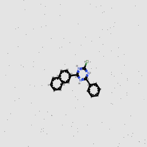 Clc1nc(-c2ccccc2)nc(-c2ccc3ccccc3c2)n1